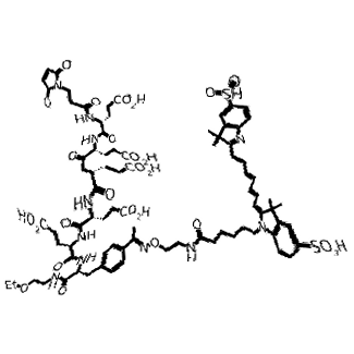 CCOCCNC(=O)[C@H](Cc1ccc(/C(C)=N/OCCNC(=O)CCCCCN2/C(=C/C=C/C=C/C=C/C3=Nc4ccc([SH](=O)=O)cc4C3(C)C)C(C)(C)c3cc(S(=O)(=O)O)ccc32)cc1)NC(=O)[C@@H](CCC(=O)O)NC(=O)[C@@H](CCC(=O)O)NC(=O)[C@@H](CCC(=O)O)CC(=O)[C@@H](CCC(=O)O)NC(=O)[C@@H](CCC(=O)O)NC(=O)CCN1C(=O)C=CC1=O